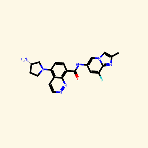 Cc1cn2cc(NC(=O)c3ccc(N4CC[C@H](N)C4)c4ccnnc34)cc(F)c2n1